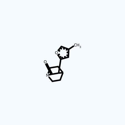 Cc1coc(C2C(=O)N3CCC2CC3)c1